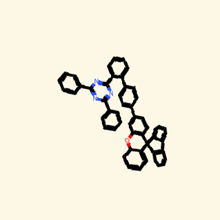 C1=CCC2Oc3cc(-c4ccc(-c5ccccc5-c5nc(-c6ccccc6)nc(-c6ccccc6)n5)cc4)ccc3C3(C2=C1)C1=C(C=CCC1)c1ccccc13